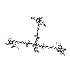 CC(=O)N[C@H]1[C@H](OCCOCCOCCNC(=O)CCOCC(COCCC(=O)NCCOCCOCCOC2O[C@H](CO)C[C@H](O)[C@H]2NC(C)=O)(COCCC(=O)NCCOCCOCCO[C@@H]2O[C@H](CO)[C@H](O)C[C@H]2NC(C)=O)NC(=O)CN)O[C@H](CO)C[C@@H]1O